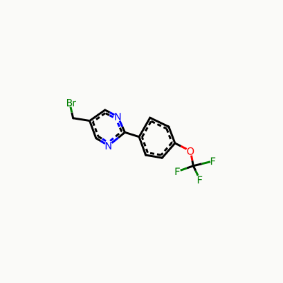 FC(F)(F)Oc1ccc(-c2ncc(CBr)cn2)cc1